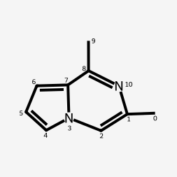 Cc1cn2cccc2c(C)n1